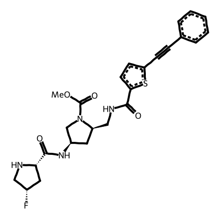 COC(=O)N1C[C@H](NC(=O)[C@@H]2C[C@H](F)CN2)C[C@@H]1CNC(=O)c1ccc(C#Cc2ccccc2)s1